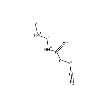 C#CCCC(=O)NCPC